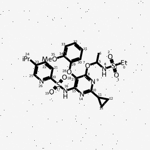 CCS(=O)(=O)NC(C)Oc1nc(C2CC2)nc(NS(=O)(=O)c2ccc(C(C)C)cn2)c1Oc1ccccc1OC